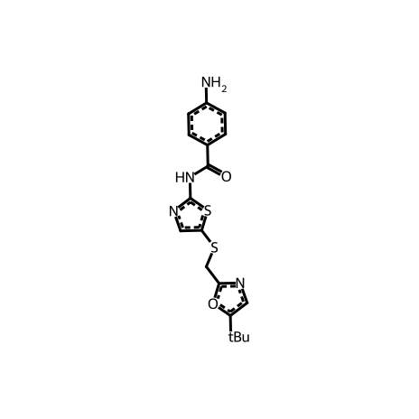 CC(C)(C)c1cnc(CSc2cnc(NC(=O)c3ccc(N)cc3)s2)o1